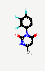 O=c1cc(C(F)(F)F)[nH]c(=O)n1-c1ccc(F)c(F)c1F